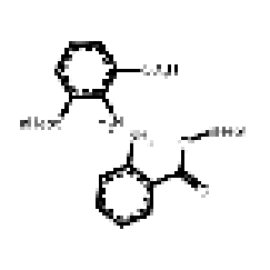 CCCCCCCOC(=O)c1ccccc1N.CCCCCCCc1cccc(C(=O)O)c1N